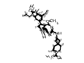 COc1nc(NC2CC3(CCN(C(C)=O)CC3)C2)nc2[nH]cc(-c3cc(F)c4nc(C)n(CC(F)F)c4c3)c12